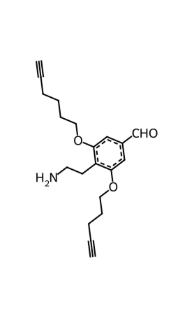 C#CCCCCOc1cc(C=O)cc(OCCCC#C)c1CCN